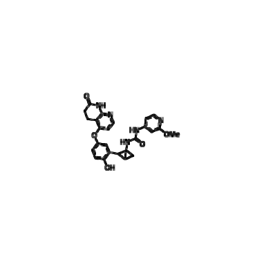 COc1cc(NC(=O)NC23CC2C3c2cc(Oc3ccnc4c3CCC(=O)N4)ccc2O)ccn1